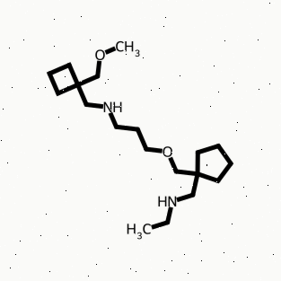 CCNCC1(COCCCNCC2(COC)CCC2)CCCC1